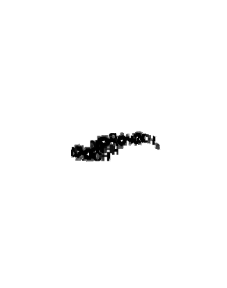 CN1CCN(CCc2ccc(NC(=O)c3ccc4nc(-c5cc(-c6ccncc6)ccc5O)[nH]c4c3)cc2)CC1